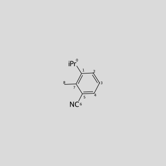 [CH2]C(C)c1cccc(C#N)c1C